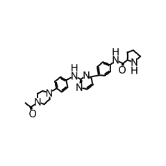 CC(=O)N1CCN(c2ccc(Nc3nccc(-c4ccc(NC(=O)C5CCCN5)cc4)n3)cc2)CC1